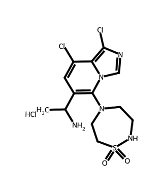 CC(N)c1cc(Cl)c2c(Cl)ncn2c1N1CCNS(=O)(=O)CC1.Cl